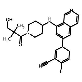 CC(C)(CO)C(=O)N1CCC(Nc2cc(C3C=C(C#N)C(F)=CC3)cc3ccncc23)CC1